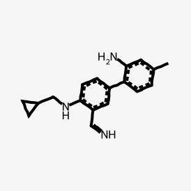 Cc1ccc(-c2ccc(NCC3CC3)c(C=N)c2)c(N)c1